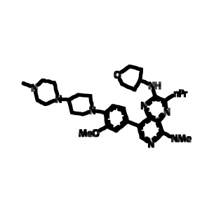 CCCc1nc2c(NC)ncc(-c3ccc(N4CCC(N5CCN(C)CC5)CC4)c(OC)c3)c2nc1NC1CCOCC1